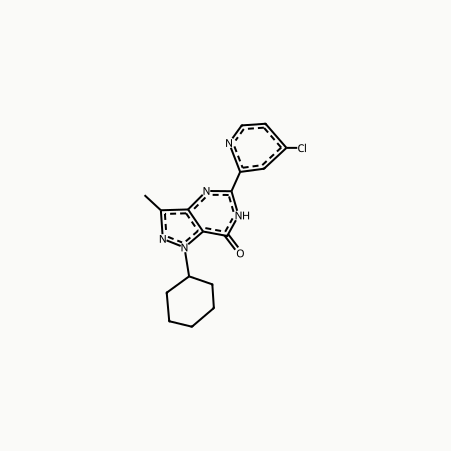 Cc1nn(C2CCCCC2)c2c(=O)[nH]c(-c3cc(Cl)ccn3)nc12